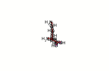 C/C(=N\O)C(C)(C)NCC(CNC(C)(C)/C(C)=N/O)NC(=O)CCC(=O)NCCCC[C@H](NC(=O)CCCC(=O)NCCOCCOCC(=O)NCCOCCOCC(=O)NCCCC[C@H](C)C(N)=O)C(=O)NCCCCC(C)C(N)=O